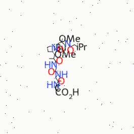 CCC(C)C(C(CC(=O)N1CCCC1C(OC)C(C)C(=O)NCC(=O)NCC(=O)NCC(=O)O)OC)N(C)C(=O)CC(C)C